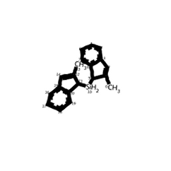 CC1=Cc2ccccc2C1[SiH2]C1C(C)=Cc2ccccc21